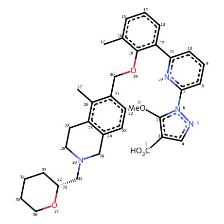 COc1c(C(=O)O)cnn1-c1cccc(-c2cccc(C)c2OCc2ccc3c(c2C)CCN(C[C@H]2CCCCO2)C3)n1